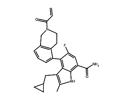 C=CC(=O)N1CCc2c(cccc2-c2c(F)cc(C(N)=O)c3[nH]c(C)c(CC4CC4)c23)C1